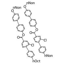 CCCCCCCCCOc1ccc(-c2ccc(OC(=O)c3ccc(-c4ccc(CCCCCCCC)cc4)c(Cl)c3)cc2)cc1.CCCCCCCCCOc1ccc(-c2ccc(OC(=O)c3ccc(-c4ccc(CCCCCCCCC)cc4)c(Cl)c3)cc2)cc1